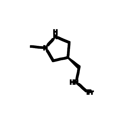 CC(C)NC[C@@H]1CNN(C)C1